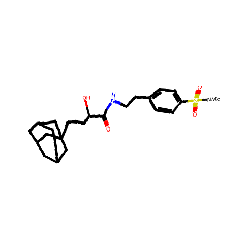 CNS(=O)(=O)c1ccc(CCNC(=O)C(O)CCC23CC4CC(CC(C4)C2)C3)cc1